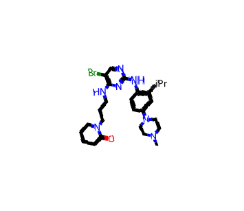 CC(C)c1cc(N2CCN(C)CC2)ccc1Nc1ncc(Br)c(NCCCN2CCCCC2=O)n1